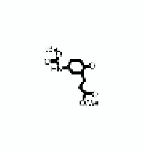 COC(=O)CCC1CC(NC(=O)OC(C)(C)C)CCC1=O